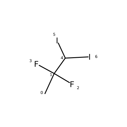 CC(F)(F)C(I)I